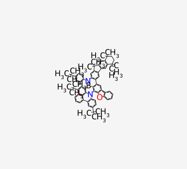 CC(C)(C)c1ccc(N2B3c4cc(C(C)(C)C)ccc4N(c4ccc(C(C)(C)C)cc4-c4ccccc4)c4c3c(cc3c4oc4ccccc43)-c3cc4c(cc32)C(C)(C)c2cc3c(cc2-4)C(C)(C)CCC3(C)C)cc1